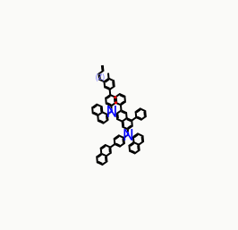 C=C/C=C\c1cc(-c2ccc(N(c3cc4cc(N(c5ccc(-c6ccc7ccccc7c6)cc5)c5cccc6ccccc56)cc(-c5ccccc5)c4cc3-c3ccccc3)c3cccc4ccccc34)cc2)ccc1C